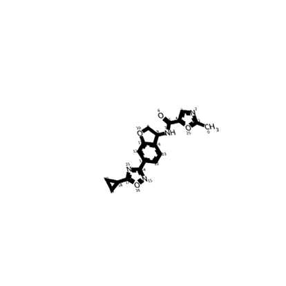 Cc1ncc(C(=O)NC2COc3cc(-c4noc(C5CC5)n4)ccc32)o1